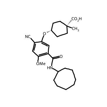 COc1cc(C#N)c(O[C@H]2CC[C@@](C)(C(=O)O)CC2)cc1C(=O)NC1CCCCCCC1